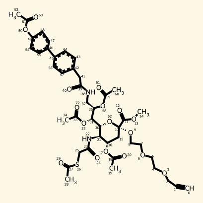 C#CCOCCOCCO[C@]1(C(=O)OC)C[C@H](OC(C)=O)[C@@H](NC(=O)CSC(C)=O)[C@H]([C@H](OC(C)=O)[C@@H](CNC(=O)Cc2ccc(-c3ccc(OC(C)=O)cc3)cc2)OC(C)=O)O1